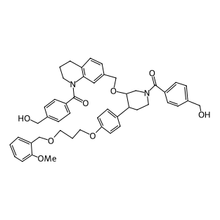 COc1ccccc1COCCCOc1ccc(C2CCN(C(=O)c3ccc(CO)cc3)CC2OCc2ccc3c(c2)N(C(=O)c2ccc(CO)cc2)CCC3)cc1